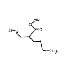 CCC=CC(CCCC(=O)O)C(=O)OCCCC